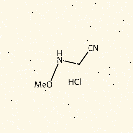 CONCC#N.Cl